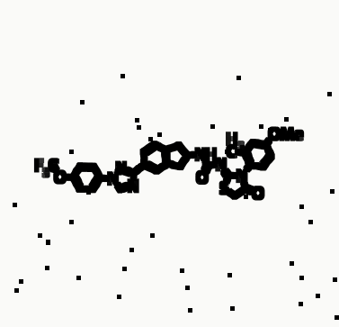 COc1ccc(N2C(=O)CSC2=NC(=O)NC2Cc3ccc(-c4ncn(-c5ccc(OC(F)(F)F)cc5)n4)cc3C2)c(C)c1